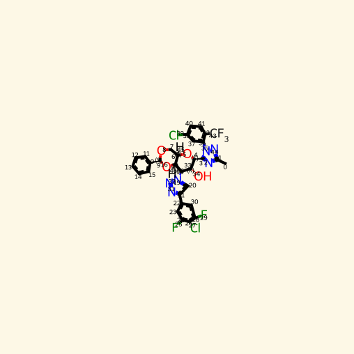 Cc1nc([C@@H]2O[C@@H]3CO[C@H](c4ccccc4)O[C@@H]3[C@H](n3cc(-c4cc(F)c(Cl)c(F)c4)nn3)[C@H]2O)n(-c2cc(Cl)ccc2C(F)(F)F)n1